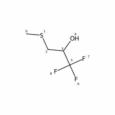 CSCC(O)C(F)(F)F